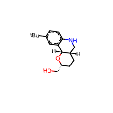 CC(C)(C)c1ccc2c(c1)[C@H]1O[C@@H](CO)CC[C@H]1CN2